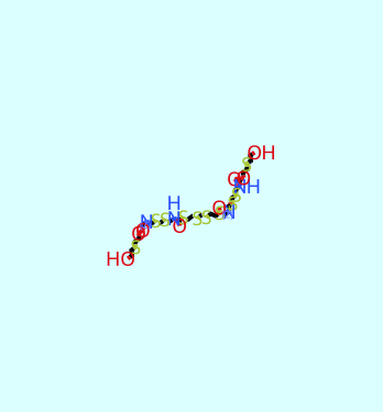 O=C(NCSCSC/N=C\[S+]([O-])CCSCSCCSC(=O)NCSCSC/N=C\OOCCSCCO)OCCSCCO